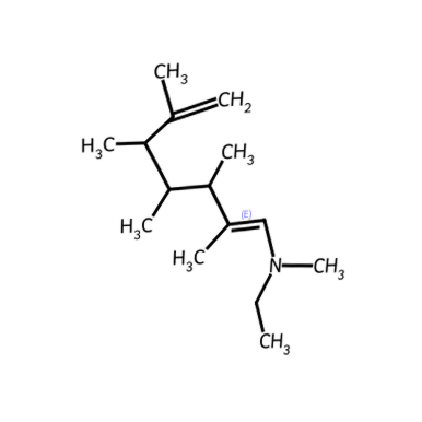 C=C(C)C(C)C(C)C(C)/C(C)=C/N(C)CC